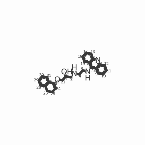 OC(CNCCNc1c2ccccc2nc2ccccc12)COC1=CCCc2ccccc21